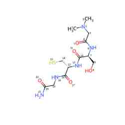 CN(C)CC(=O)N[C@@H](CO)C(=O)N[C@@H](CS)C(=O)NCC(N)=O